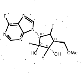 COC[C@@H]1C(F)[C@@H](n2cnc3c(F)ncnc32)[C@](O)(F)[C@]1(O)F